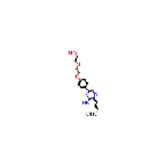 N=C1N=C(c2ccc(OCCOCCO)cc2)C=N/C1=C/C=CC=O